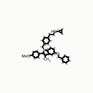 COc1ccc(-c2c(C)c3cc(OCc4ccccc4)ccc3n2Cc2ccc(CCNC3CC3)cc2)cc1